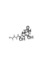 CCCCCC(O)C=CC1C(O)C[C@@H]2C(=O)C[C@@H]12